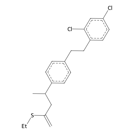 C=C(CC(C)c1ccc(CCc2ccc(Cl)cc2Cl)cc1)SCC